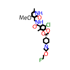 COc1cc(C)[nH]c(=O)c1CNC(=O)c1cc(Cl)c2c(c1C)O[C@@H](C1CCC(N3CC(OCCF)C3)CC1)CO2